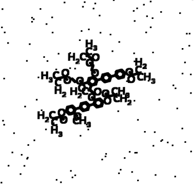 C=C(C)C(=O)OCCOC(=O)c1cc(OCCOC(=O)C(=C)C)c(-c2ccc(-c3ccc(OC(=O)C(=C)C)cc3)cc2)cc1C(=C)C(=O)Oc1cc(OC(=O)C(=C)C)ccc1-c1ccc(-c2ccc(OC(=O)C(=C)C)cc2OC)cc1